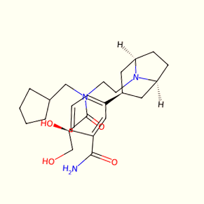 NC(=O)c1cccc([C@H]2C[C@H]3CC[C@@H](C2)N3CCN(CC2CCCC2)C(=O)[C@H](O)CO)c1